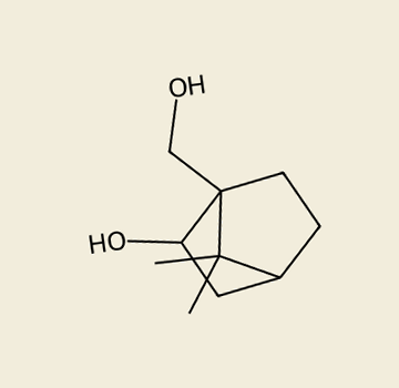 CC1(C)C2CCC1(CO)C(O)C2